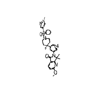 COc1ccc2c(n1)C(C)(C)N(c1cncc(C3(F)CCN(S(=O)(=O)c4cnn(C)c4)CC3)c1)C2=O